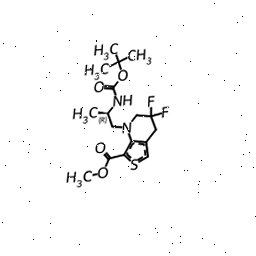 COC(=O)c1scc2c1N(C[C@@H](C)NC(=O)OC(C)(C)C)CC(F)(F)C2